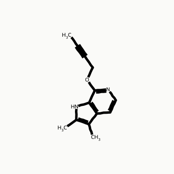 CC#CCOc1nccc2c(C)c(C)[nH]c12